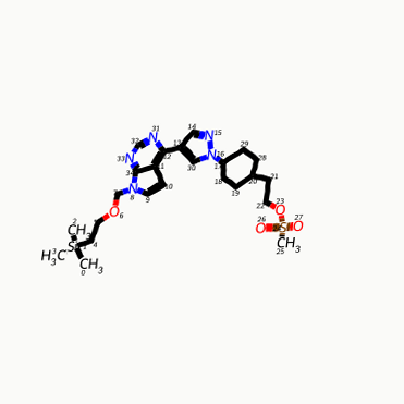 C[Si](C)(C)CCOCn1ccc2c(-c3cnn(C4CCC(CCOS(C)(=O)=O)CC4)c3)ncnc21